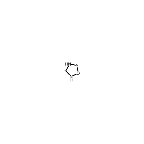 [CH]1NOSN1